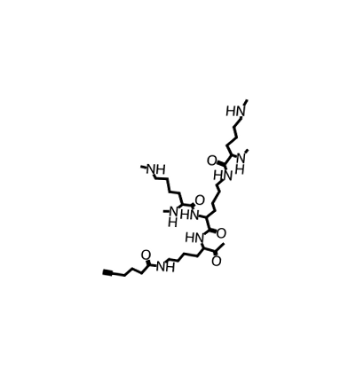 C#CCCCC(=O)NCCCCC(NC(=O)C(CCCCNC(=O)C(CCCCNC)NC)NC(=O)C(CCCCNC)NC)C(C)=O